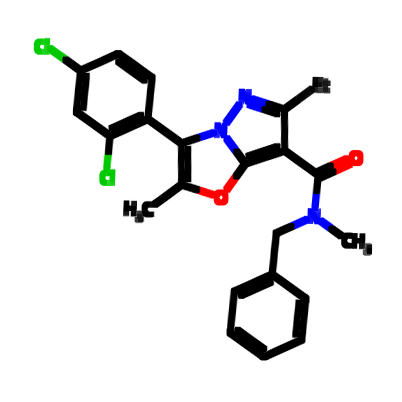 CCc1nn2c(-c3ccc(Cl)cc3Cl)c(C)oc2c1C(=O)N(C)Cc1ccccc1